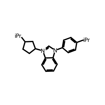 CC(C)c1ccc(-n2c[n+](C3CCC(C(C)C)C3)c3ccccc32)cc1